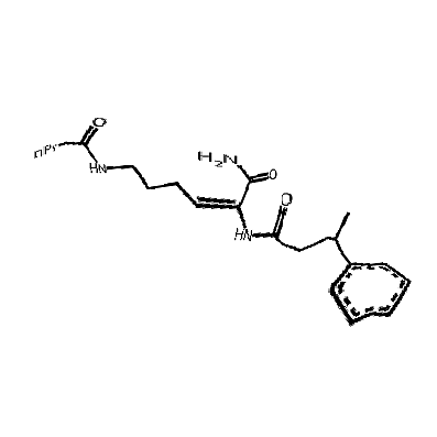 CCCC(=O)NCCCC=C(NC(=O)CC(C)c1ccccc1)C(N)=O